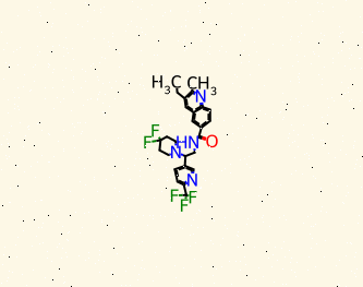 CCc1cc2cc(C(=O)NCC(c3ccc(C(F)(F)F)nc3)N3CCC(F)(F)CC3)ccc2nc1C